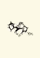 CC1[C@@H](C)C[C@@H](C#N)N1C(=O)[C@@H](N)C12CCC(CC1)C2